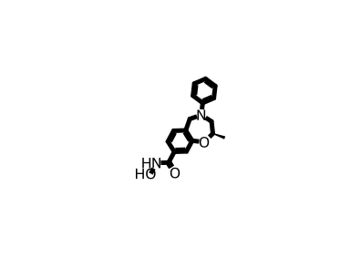 C[C@@H]1CN(c2ccccc2)Cc2ccc(C(=O)NO)cc2O1